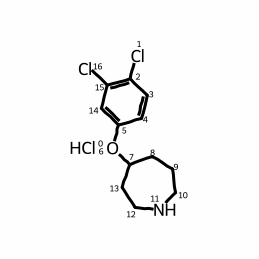 Cl.Clc1ccc(OC2CCCNCC2)cc1Cl